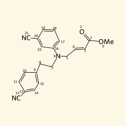 COC(=O)/C=C/CN(CCc1ccc(C#N)cc1)c1cccc(C#N)c1